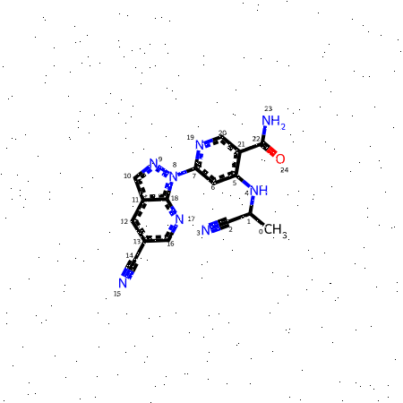 CC(C#N)Nc1cc(-n2ncc3cc(C#N)cnc32)ncc1C(N)=O